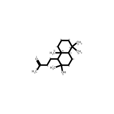 CC(=O)CCC1C(C)(O)CCC2C(C)(C)CCCC21C